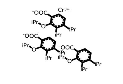 CC(C)Oc1c(C(=O)[O-])ccc(C(C)C)c1C(C)C.CC(C)Oc1c(C(=O)[O-])ccc(C(C)C)c1C(C)C.CC(C)Oc1c(C(=O)[O-])ccc(C(C)C)c1C(C)C.[Cr+3]